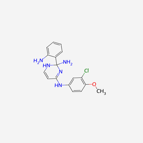 COc1ccc(NC2=NC(N)(c3ccccc3N)NC=C2)cc1Cl